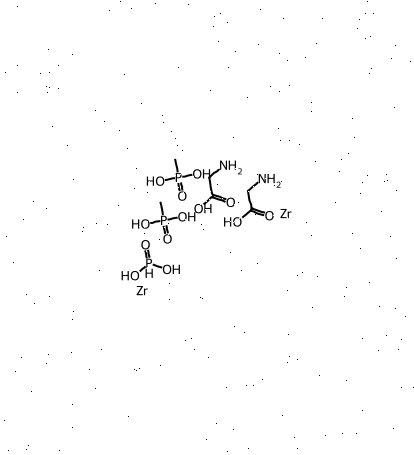 CP(=O)(O)O.CP(=O)(O)O.NCC(=O)O.NCC(=O)O.O=[PH](O)O.[Zr].[Zr]